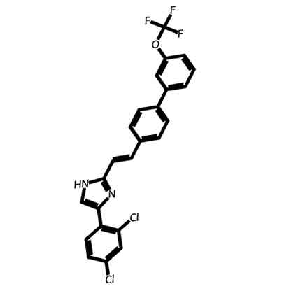 FC(F)(F)Oc1cccc(-c2ccc(C=Cc3nc(-c4ccc(Cl)cc4Cl)c[nH]3)cc2)c1